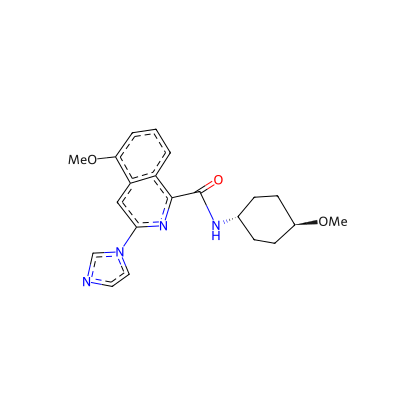 COc1cccc2c(C(=O)N[C@H]3CC[C@H](OC)CC3)nc(-n3ccnc3)cc12